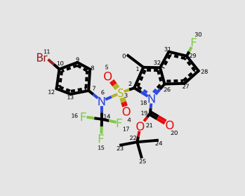 Cc1c(S(=O)(=O)N(c2ccc(Br)cc2)C(F)(F)F)n(C(=O)OC(C)(C)C)c2ccc(F)cc12